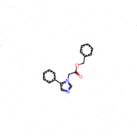 O=C(Cn1cncc1-c1ccccc1)OCc1ccccc1